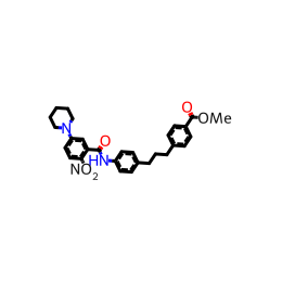 COC(=O)c1ccc(CCCc2ccc(NC(=O)c3cc(N4CCCCC4)ccc3[N+](=O)[O-])cc2)cc1